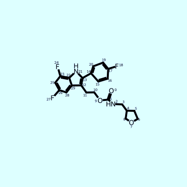 O=C(NCC1CCOC1)OCCc1c(-c2ccc(F)cc2)[nH]c2c(F)cc(F)cc12